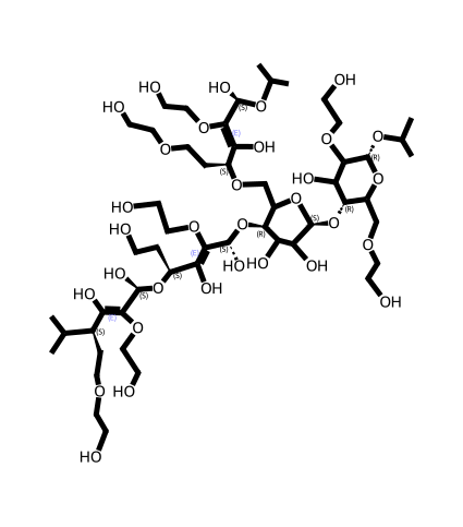 CC(C)O[C@@H]1OC(COCCO)[C@H](O[C@@H]2OC(CO[C@@H](CCOCCO)/C(O)=C(\OCCO)[C@@H](O)OC(C)C)[C@H](O[C@H](O)/C(OCCO)=C(\O)[C@H](CCO)O[C@H](O)/C(OCCO)=C(\O)[C@@H](CCOCCO)C(C)C)C(O)C2O)C(O)C1OCCO